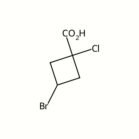 O=C(O)C1(Cl)CC(Br)C1